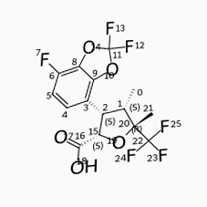 C[C@H]1[C@@H](c2ccc(F)c3c2OC(F)(F)O3)[C@@H](C(=O)O)O[C@@]1(C)C(F)(F)F